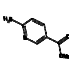 Bc1ccc(C(=O)OC)cn1